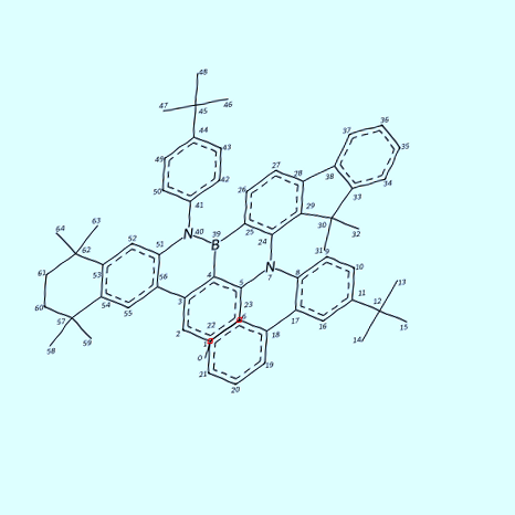 Cc1cc2c3c(c1)N(c1ccc(C(C)(C)C)cc1-c1ccccc1)c1c(ccc4c1C(C)(C)c1ccccc1-4)B3N(c1ccc(C(C)(C)C)cc1)c1cc3c(cc1-2)C(C)(C)CCC3(C)C